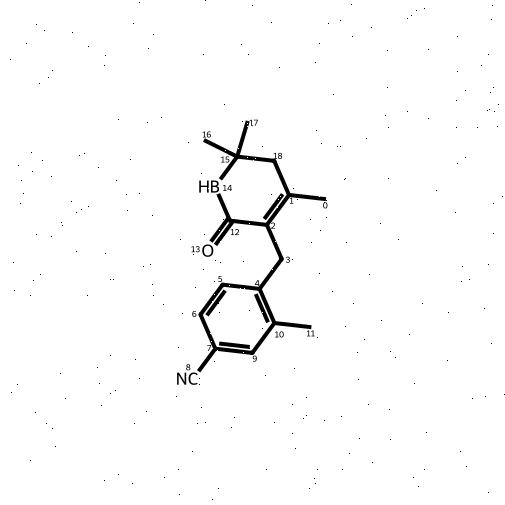 CC1=C(Cc2ccc(C#N)cc2C)C(=O)BC(C)(C)C1